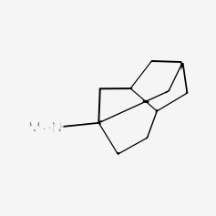 CNC12CCC3CC(CC3C1)C2